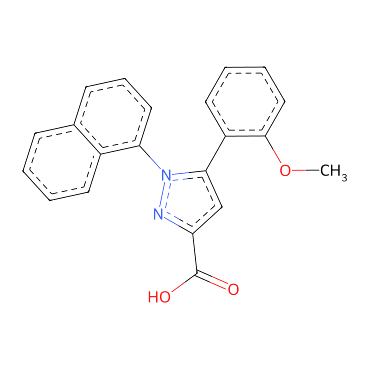 COc1ccccc1-c1cc(C(=O)O)nn1-c1cccc2ccccc12